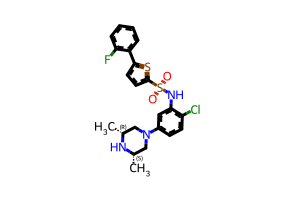 C[C@@H]1CN(c2ccc(Cl)c(NS(=O)(=O)c3ccc(-c4ccccc4F)s3)c2)C[C@H](C)N1